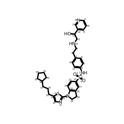 O=S(=O)(Nc1ccc(CCNCC(O)c2cccnc2)cc1)c1ccc2c(c1)CCN2c1ncc(CCCC2CCCC2)s1